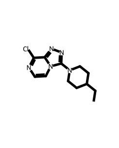 CCC1CCN(c2nnc3c(Cl)nccn23)CC1